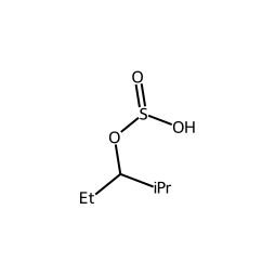 CCC(OS(=O)O)C(C)C